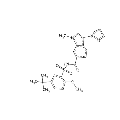 COc1ccc(C(C)(C)C)cc1S(=O)(=O)NC(=O)c1ccc2c(-n3cccn3)cn(C)c2c1